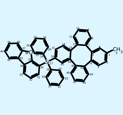 Cc1ccc2c(c1)-c1ccccc1-c1ccc([Si](c3ccccc3)(c3ccccc3)c3cccc4c3oc3ccccc34)cc1-c1ccccc1-2